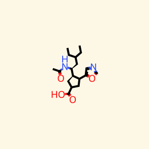 CCC(CC)C[C@H](NC(C)=O)[C@@H]1CC(C(=O)O)CC1c1cnco1